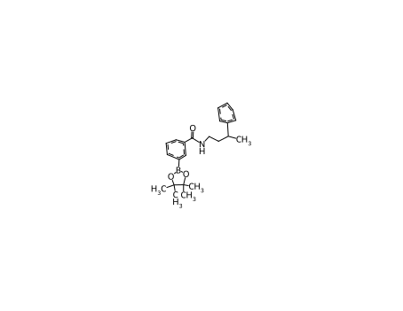 CC(CCNC(=O)c1cccc(B2OC(C)(C)C(C)(C)O2)c1)c1ccccc1